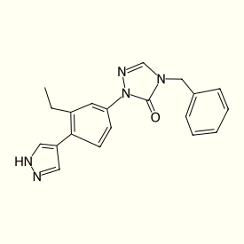 CCc1cc(-n2ncn(Cc3ccccc3)c2=O)ccc1-c1cn[nH]c1